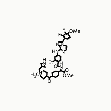 CCc1cc(Nc2nccn3c(-c4ccc(OC)c(F)c4F)cnc23)ccc1C(=O)NC(C(=O)OC)C1CCC(C(=O)C2CC[N+](C)(CC3CNC3)CC2)CC1